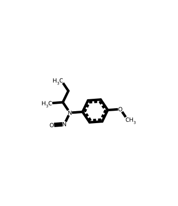 CCC(C)N(N=O)c1ccc(OC)cc1